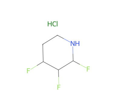 Cl.FC1CCNC(F)C1F